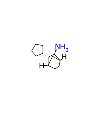 N[C@H]1[C@@H]2CC[C@@H](C2)[C@@H]1C1CCCC1